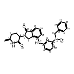 C=C1CCC(N2Cc3c(Nc4ccnc(N(CC)Cc5ccccc5)n4)cccc3C2=O)C(=O)N1